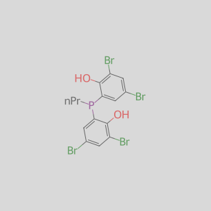 CCCP(c1cc(Br)cc(Br)c1O)c1cc(Br)cc(Br)c1O